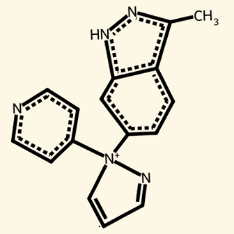 Cc1n[nH]c2cc([N+]3(c4ccncc4)C=[C]C=N3)ccc12